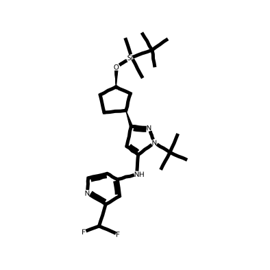 CC(C)(C)n1nc([C@H]2CC[C@@H](O[Si](C)(C)C(C)(C)C)C2)cc1Nc1ccnc(C(F)F)c1